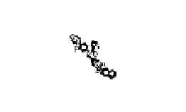 O=C(c1cccs1)N(CC1C2CN(S(=O)(=O)c3ccc4ccccc4c3)CC12)c1ccc(N2CCOCC2)c(F)c1